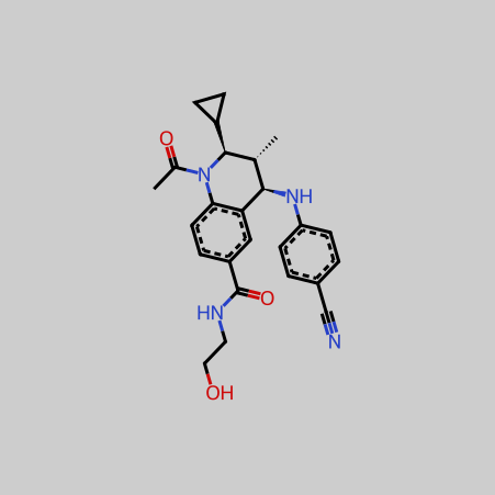 CC(=O)N1c2ccc(C(=O)NCCO)cc2[C@H](Nc2ccc(C#N)cc2)[C@@H](C)[C@@H]1C1CC1